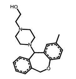 Cc1ccc2c(c1)C(N1CCN(CCO)CC1)c1ccccc1CO2